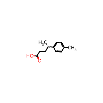 Cc1ccc([C@@H](C)CCC(=O)O)cc1